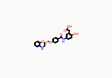 CN1C[C@@H](COc2ccc(C(=O)Nc3ccc(O)c(CC(=O)O)c3)cc2)Oc2ccccc21